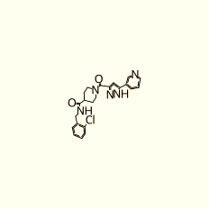 O=C(NCc1ccccc1Cl)C1CCN(C(=O)c2cc(-c3cccnc3)[nH]n2)CC1